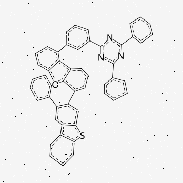 c1ccc(-c2nc(-c3ccccc3)nc(-c3cccc(-c4cccc5oc6c(-c7cc8sc9ccccc9c8cc7-c7ccccc7)cccc6c45)c3)n2)cc1